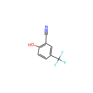 N#Cc1cc(C(F)(F)F)ccc1O